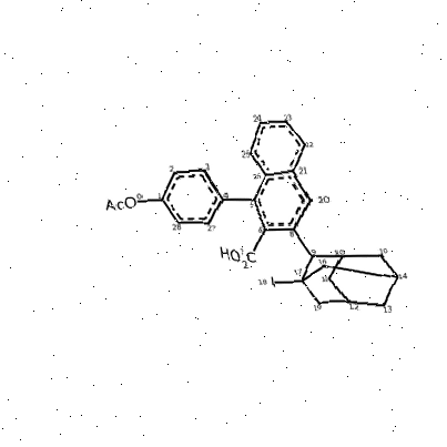 CC(=O)Oc1ccc(-c2c(C(=O)O)c(C3C4CC5CC(C4)CC3(I)C5)cc3ccccc23)cc1